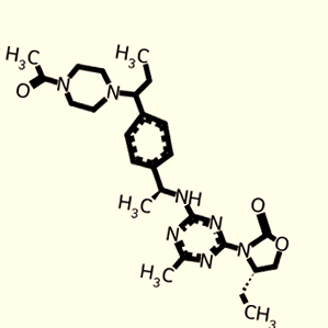 CCC(c1ccc([C@H](C)Nc2nc(C)nc(N3C(=O)OC[C@@H]3CC)n2)cc1)N1CCN(C(C)=O)CC1